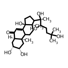 CC(C)(O)CC[C@@H](O)[C@](C)(O)C1CC[C@@]2(O)C3=CC(=O)[C@@H]4C[C@@H](O)[C@@H](O)C[C@]4(C)C3CC[C@]12C